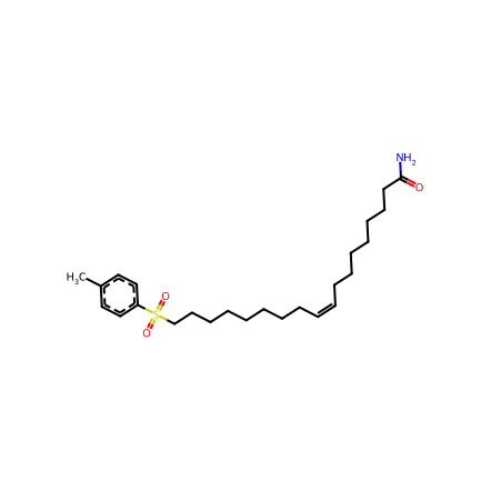 Cc1ccc(S(=O)(=O)CCCCCCCC/C=C\CCCCCCCC(N)=O)cc1